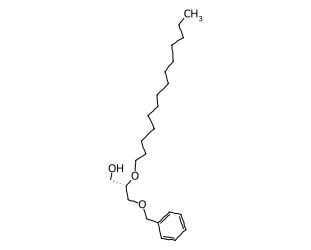 CCCCCCCCCCCCCCO[C@@H](CO)COCc1ccccc1